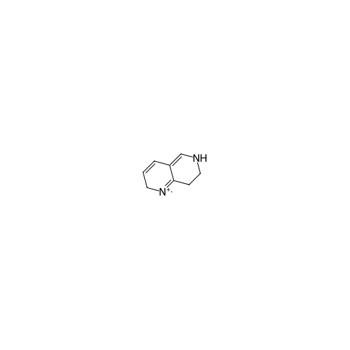 C1=CC2=CNCCC2=[N+]C1